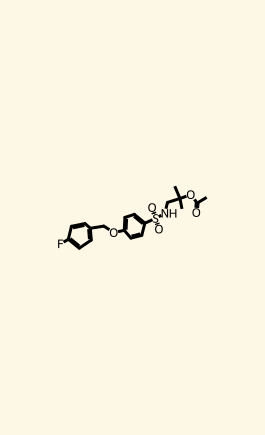 CC(=O)OC(C)(C)CNS(=O)(=O)c1ccc(OCc2ccc(F)cc2)cc1